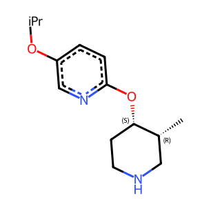 CC(C)Oc1ccc(O[C@H]2CCNC[C@H]2C)nc1